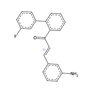 Nc1cccc(/C=C/C(=O)c2ccccc2-c2cccc(F)c2)c1